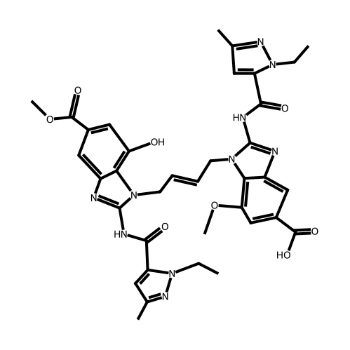 CCn1nc(C)cc1C(=O)Nc1nc2cc(C(=O)OC)cc(O)c2n1CC=CCn1c(NC(=O)c2cc(C)nn2CC)nc2cc(C(=O)O)cc(OC)c21